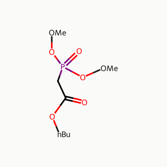 CCCCOC(=O)CP(=O)(OOC)OOC